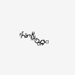 O=c1nc(N2CCC(O)(c3ccc(Cl)cc3)CC2)ncn1Cc1ccc(C(F)(F)F)s1